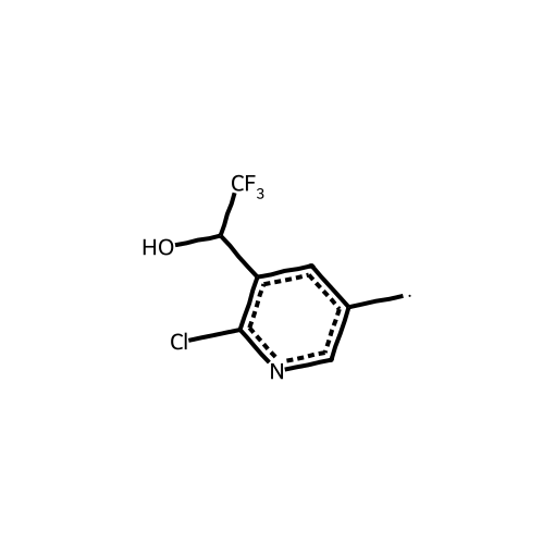 [CH2]c1cnc(Cl)c(C(O)C(F)(F)F)c1